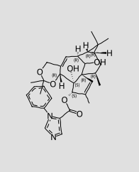 CC1=C[C@]23C(O)[C@@H](C=C4COC(C)(C)O[C@H]4[C@]2(O)[C@H]1OC(=O)c1cncn1-c1ccccc1)[C@H]1[C@@H](C[C@H]3C)C1(C)C